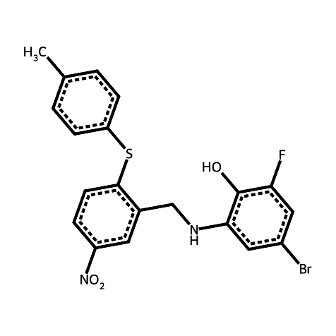 Cc1ccc(Sc2ccc([N+](=O)[O-])cc2CNc2cc(Br)cc(F)c2O)cc1